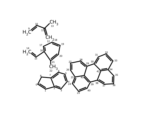 C1=Cc2ccccc2C1.C=CC(=C)C.C=Cc1ccccc1C.c1cc2cccc3c4cccc5cccc(c(c1)c23)c54